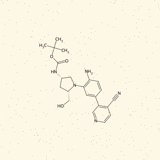 CC(C)(C)OC(=O)N[C@H]1C[C@@H](CO)N(c2cc(-c3cnccc3C#N)ccc2N)C1